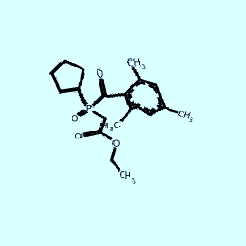 CCOC(=O)CP(=O)(C(=O)c1c(C)cc(C)cc1C)C1CCCC1